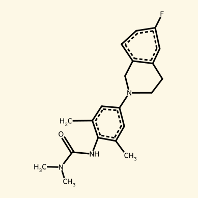 Cc1cc(N2CCc3cc(F)ccc3C2)cc(C)c1NC(=O)N(C)C